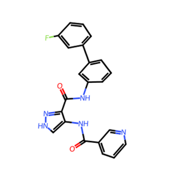 O=C(Nc1c[nH]nc1C(=O)Nc1cccc(-c2cccc(F)c2)c1)c1cccnc1